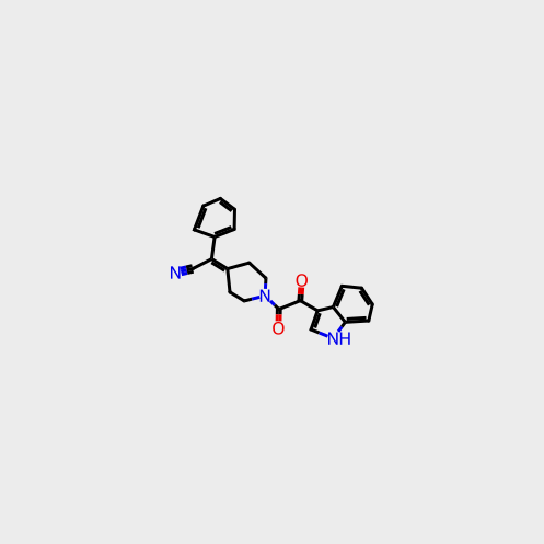 N#CC(=C1CCN(C(=O)C(=O)c2c[nH]c3ccccc23)CC1)c1ccccc1